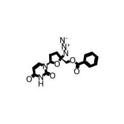 [N-]=[N+]=N[C@@]1(COC(=O)c2ccccc2)CC[C@H](n2ccc(=O)[nH]c2=O)O1